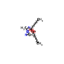 CC(C#N)CN=NCC(C)C#N.CCCCCCCCCCCC(=O)OOC(=O)CCCCCCCCCCC